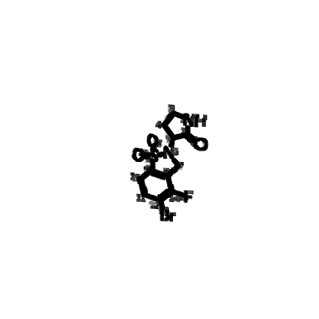 O=C1NCCC1N1Cc2c(ccc(Br)c2F)S1(=O)=O